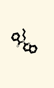 CCCCN(C(=O)c1ccccc1)c1ccc2ccccc2n1